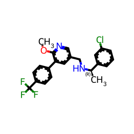 COc1ncc(CN[C@H](C)c2cccc(Cl)c2)cc1-c1ccc(C(F)(F)F)cc1